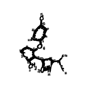 Cc1cccc(Oc2ccc(Cl)cn2)c1-c1cc(C(F)F)no1